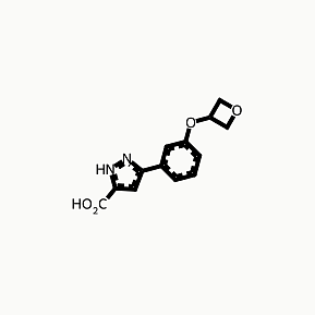 O=C(O)c1cc(-c2cccc(OC3COC3)c2)n[nH]1